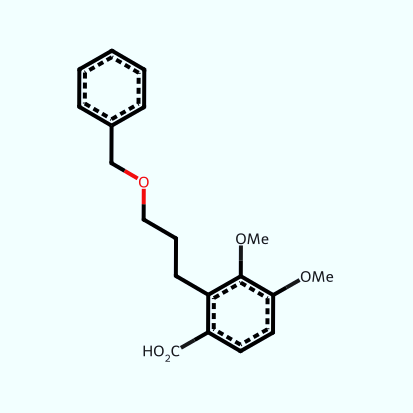 COc1ccc(C(=O)O)c(CCCOCc2ccccc2)c1OC